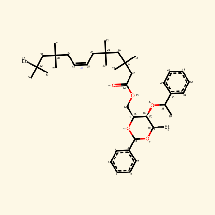 CC[C@H]1OC(c2ccccc2)O[C@@H](COC(=O)CC(C)(C)CC(C)(C)C/C=C\CC(C)(C)CC(C)(C)CC)[C@H]1OC(C)c1ccccc1